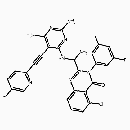 CC(Nc1nc(N)nc(N)c1C#Cc1ccc(F)cn1)c1nc2cccc(Cl)c2c(=O)n1-c1cc(F)cc(F)c1